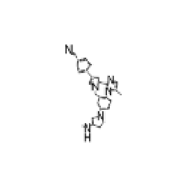 CN[C@@H]1CCN(c2ccc3c(c2)Cn2cc(-c4ccc(C#N)cc4)cc2-c2ncc(C)n2-3)C1